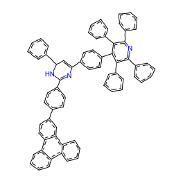 C1=C(c2ccc(-c3c(-c4ccccc4)c(-c4ccccc4)nc(-c4ccccc4)c3-c3ccccc3)cc2)N=C(c2ccc(-c3ccc4c5ccccc5c5ccccc5c4c3)cc2)NC1c1ccccc1